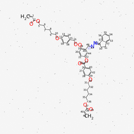 C=CC(=O)OCCCCCCOc1ccc(COOc2ccc(OC(=O)c3ccc(OCCCCCCOC(=O)C=C)cc3)cc2/C=N/N=C2\CCc3ccccc32)cc1